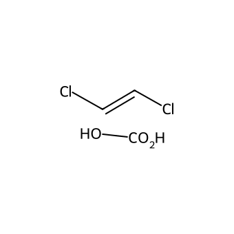 ClC=CCl.O=C(O)O